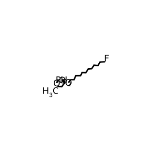 CC(CC(=O)OCCCCCCCCCCCCF)OP